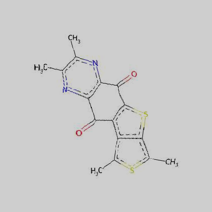 Cc1nc2c(nc1C)C(=O)c1c(sc3c(C)sc(C)c13)C2=O